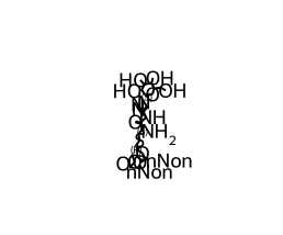 CCCCCCCCCC(=O)OC[C@H](CSC[C@@H](N)C(=O)Nc1cn([C@H]2OC(CO)C(O)C(O)C2O)nn1)OC(=O)CCCCCCCCC